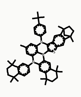 Cc1cc2c3c(c1)N(c1ccc(C(C)(C)C)cc1)c1c(sc4cc5c(cc14)C1(C)CCC5(C)C1)B3c1cc3c(cc1N2c1ccc2c(c1)C(C)(C)CCC2(C)C)C(C)(C)CCC3(C)C